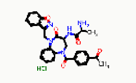 CC(=O)c1ccc(C(=O)N2CC(NC(=O)C(C)N)C(=O)N(Cc3noc4ccccc34)c3ccccc32)cc1.Cl